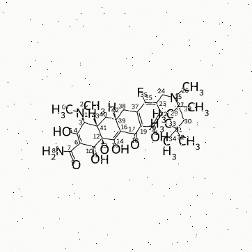 CN(C)[C@@H]1C(O)=C(C(N)=O)C(=O)[C@@]2(O)C(O)=C3C(=O)c4c(O)cc(CN(C)C(C)(C)CC(C)(C)C)c(F)c4C[C@H]3C[C@@H]12